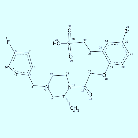 C[C@@H]1CN(Cc2ccc(F)cc2)CCN1C(=O)COc1ccc(Br)cc1CCS(=O)(=O)O